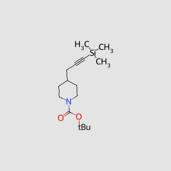 CC(C)(C)OC(=O)N1CCC(CC#C[Si](C)(C)C)CC1